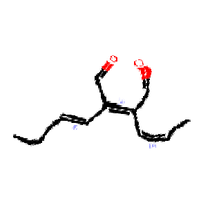 C\C=C/C(C=O)=C(C=O)\C=C\CC